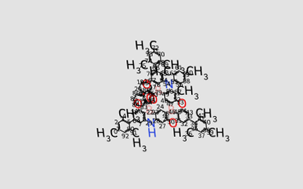 Cc1cc(C)c(-c2cc3c4c(c2)Oc2c(oc5ccccc25)B4c2cc4c(cc2N3)Oc2cc(-c3c(C)cc(C)cc3C)cc3c2B4c2cc4c(cc2O3)N(c2c(C)cc(C)cc2C)c2cc(-c3c(C)cc(C)cc3C)cc3c2B4c2oc4ccccc4c2O3)c(C)c1